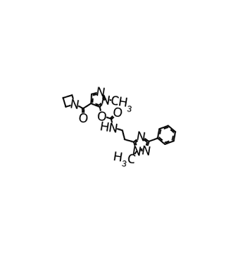 Cn1nc(-c2ccccc2)nc1CCNC(=O)Oc1c(C(=O)N2CCC2)cnn1C